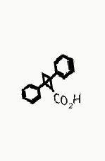 O=C(O)C1C2(c3ccccc3)CC12c1ccccc1